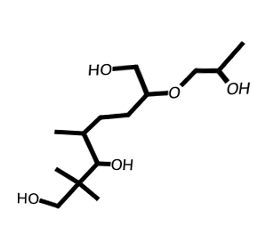 CC(O)COC(CO)CCC(C)C(O)C(C)(C)CO